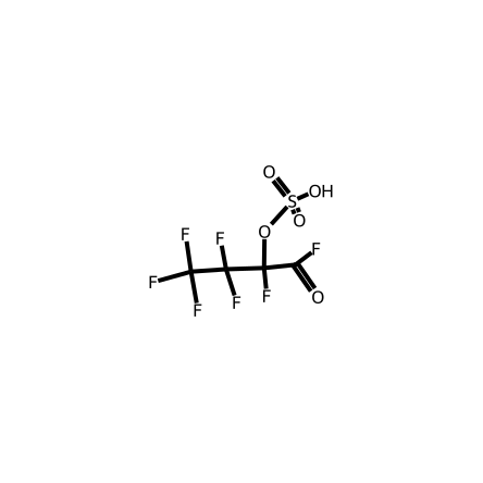 O=C(F)C(F)(OS(=O)(=O)O)C(F)(F)C(F)(F)F